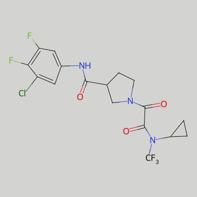 O=C(Nc1cc(F)c(F)c(Cl)c1)C1CCN(C(=O)C(=O)N(C2CC2)C(F)(F)F)C1